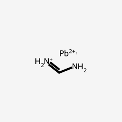 NC=[NH2+].[Pb+2]